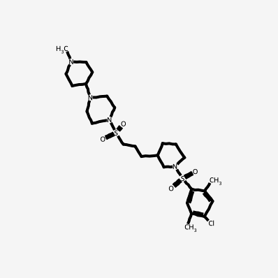 Cc1cc(S(=O)(=O)N2CCCC(CCCS(=O)(=O)N3CCN(C4CCN(C)CC4)CC3)C2)c(C)cc1Cl